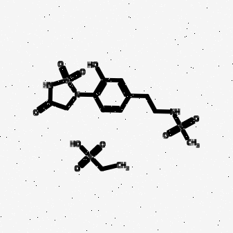 CCS(=O)(=O)O.CS(=O)(=O)NCCc1ccc(N2CC(=O)NS2(=O)=O)c(O)c1